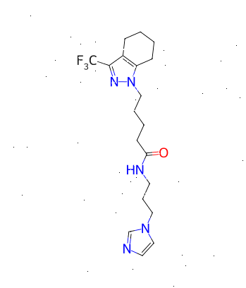 O=C(CCCCn1nc(C(F)(F)F)c2c1CCCC2)NCCCn1ccnc1